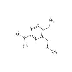 CCCc1nc(C(C)C)ccc1SN